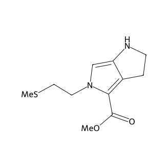 COC(=O)c1c2c(cn1CCSC)NCC2